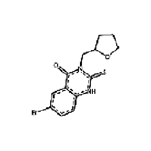 O=c1c2cc(Br)ccc2[nH]c(=S)n1CC1CCCO1